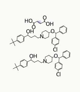 CC(C)(C)c1ccc(C(O)CCCN2CCC(OC(c3ccccc3)c3ccc(Cl)cc3)CC2)cc1.CC(C)(C)c1ccc(C(O)CCCN2CCC(OC(c3ccccc3)c3ccc(Cl)cc3)CC2)cc1.O=C(O)/C=C/C(=O)O